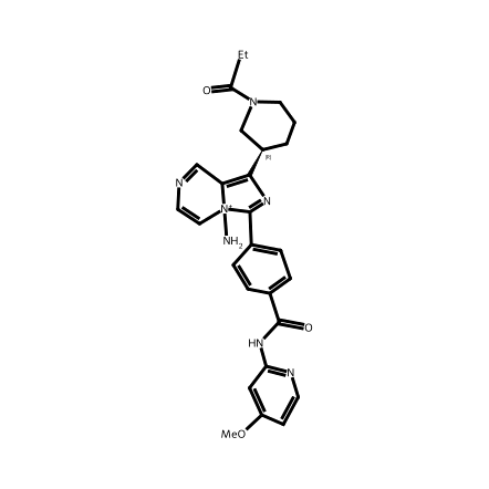 CCC(=O)N1CCC[C@@H](C2=C3C=NC=C[N+]3(N)C(c3ccc(C(=O)Nc4cc(OC)ccn4)cc3)=N2)C1